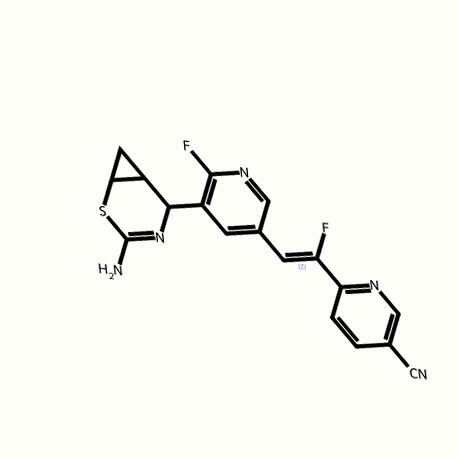 N#Cc1ccc(/C(F)=C/c2cnc(F)c(C3N=C(N)SC4CC43)c2)nc1